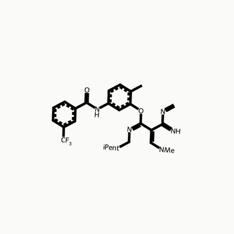 C=NC(=N)C(=C\NC)/C(=N\CC(C)CCC)Oc1cc(NC(=O)c2cccc(C(F)(F)F)c2)ccc1C